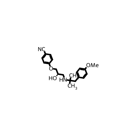 COc1ccc(CC(C)(C)NC[C@@H](O)COc2ccc(C#N)cc2)cc1